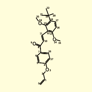 C=CCOc1ccc(C(=O)/C=C/c2c(OC)ccc(C(C)(C)C)c2OC)cc1